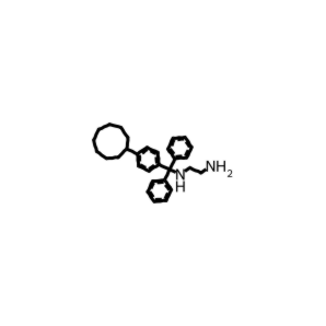 NCCNC(c1ccccc1)(c1ccccc1)c1ccc(C2CCCCCCCC2)cc1